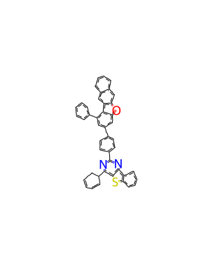 C1=CCC(c2nc(-c3ccc(-c4cc(-c5ccccc5)c5c(c4)oc4cc6ccccc6cc45)cc3)nc3c2sc2ccccc23)C=C1